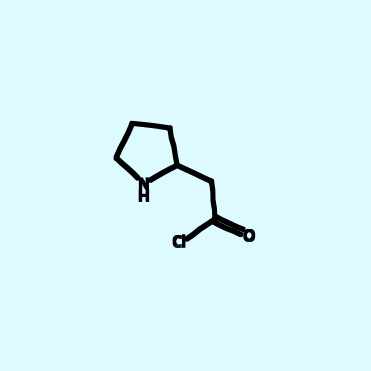 O=C(Cl)CC1CCCN1